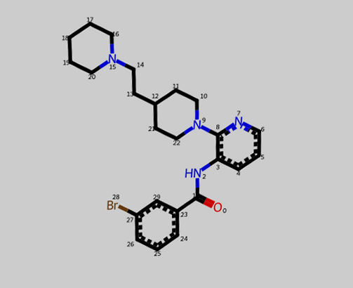 O=C(Nc1cccnc1N1CCC(CCN2CCCCC2)CC1)c1cccc(Br)c1